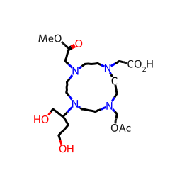 COC(=O)CN1CCN(CC(=O)O)CCN(COC(C)=O)CCN(C(CO)CCO)CC1